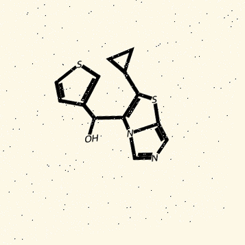 OC(c1ccsc1)c1c(C2CC2)sc2cncn12